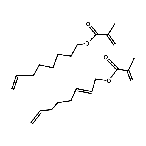 C=CCCCC=CCOC(=O)C(=C)C.C=CCCCCCCOC(=O)C(=C)C